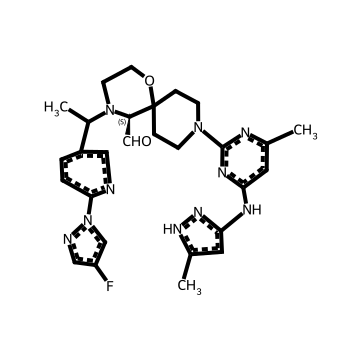 Cc1cc(Nc2cc(C)[nH]n2)nc(N2CCC3(CC2)OCCN(C(C)c2ccc(-n4cc(F)cn4)nc2)[C@@H]3C=O)n1